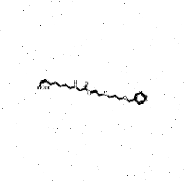 CCCCCCCC/C=C\CCCCCNCC(=O)OCCOCCCOCc1ccccc1